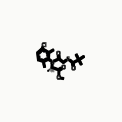 COC(=O)[C@H](C)N(C(=O)CSC(=O)C(C)(C)C)c1c(C)ccc(Cl)c1C